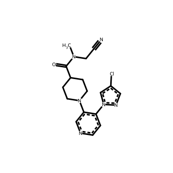 CN(CC#N)C(=O)C1CCN(c2cnccc2-n2cc(Cl)cn2)CC1